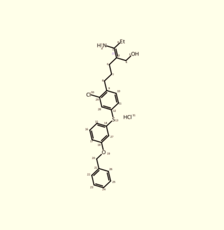 CC/C(N)=C(\CO)CCCc1ccc(Sc2cccc(OCc3ccccc3)c2)cc1Cl.Cl